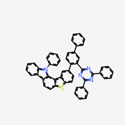 c1ccc(-c2ccc(-c3ccc4sc5ccc6c7ccccc7n(-c7ccccc7)c6c5c4c3)c(-c3nc(-c4ccccc4)nc(-c4ccccc4)n3)c2)cc1